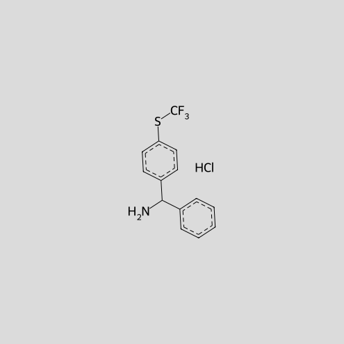 Cl.NC(c1ccccc1)c1ccc(SC(F)(F)F)cc1